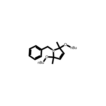 CCCCOC1(C)C=CC(C)(OCCCC)N1Cc1ccccc1